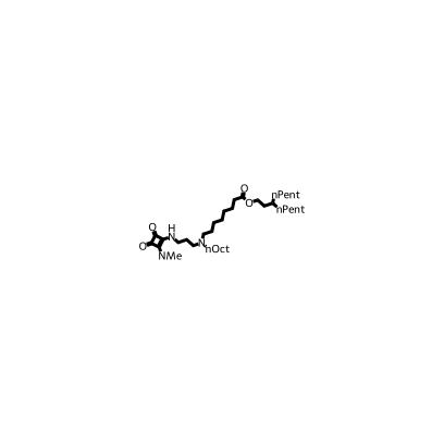 CCCCCCCCN(CCCCCCCC(=O)OCCC(CCCCC)CCCCC)CCCNc1c(NC)c(=O)c1=O